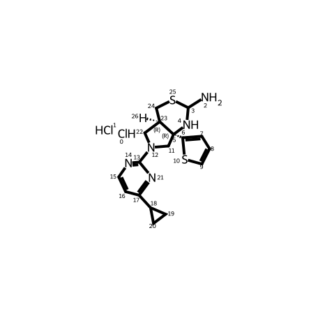 Cl.Cl.NC1N[C@@]2(c3cccs3)CN(c3nccc(C4CC4)n3)C[C@H]2CS1